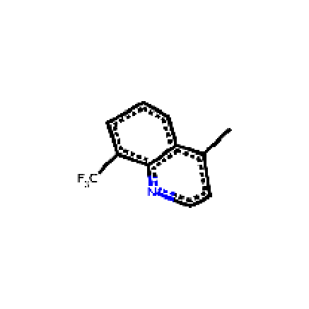 Cc1ccnc2c(C(F)(F)F)cccc12